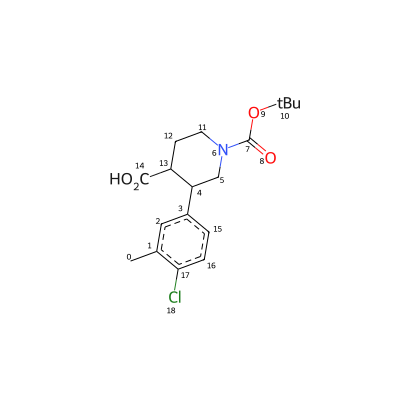 Cc1cc(C2CN(C(=O)OC(C)(C)C)CCC2C(=O)O)ccc1Cl